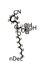 CCCCCCCCCCCCCCCCCCOC[C@H](COP(=O)(O)O)OCc1cccc(C#N)n1